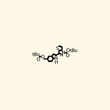 CC(C)(C)OC(=O)n1nc(-c2cc3cc(COC(=O)C(C)(C)C)ccc3[nH]2)c2sccc21